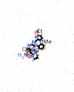 CCOc1cccc(-c2nc3nc(Cl)c(C(c4ncccn4)S(N)(=O)=O)nc3n2-c2c(OC)cccc2OC)n1